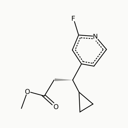 COC(=O)C[C@H](c1ccnc(F)c1)C1CC1